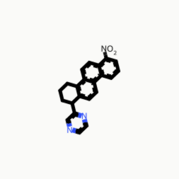 O=[N+]([O-])c1cccc2c1ccc1c3c(ccc12)C(c1cnccn1)CCC3